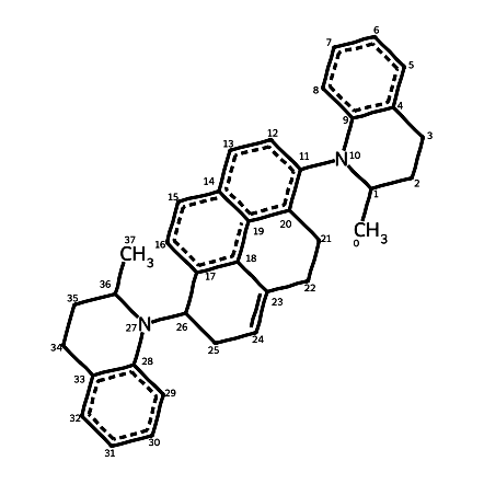 CC1CCc2ccccc2N1c1ccc2ccc3c4c2c1CCC4=CCC3N1c2ccccc2CCC1C